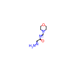 NN=CC(=O)/N=C/N1CCOCC1